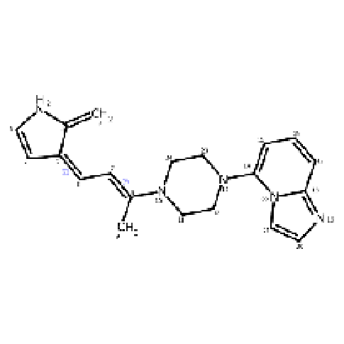 C=c1[nH]cc/c1=C/C=C(\C)N1CCN(c2cccc3nccn23)CC1